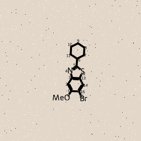 COc1cc2nc(C3CCCCC3)sc2cc1Br